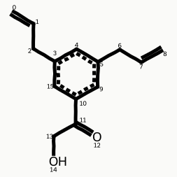 C=CCc1cc(CC=C)cc(C(=O)CO)c1